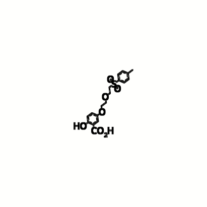 Cc1ccc(S(=O)(=O)CCOCCOc2ccc(O)c(C(=O)O)c2)cc1